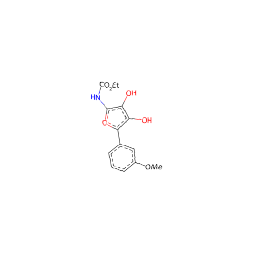 CCOC(=O)Nc1oc(-c2cccc(OC)c2)c(O)c1O